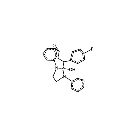 O=CCC(c1ccc(F)cc1)[P]1(O)N(c2ccccc2)CCN1c1ccccc1